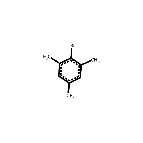 Cc1cc(C(F)(F)F)cc(C(F)(F)F)c1Br